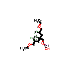 CCOCC(Br)CC(Br)(COPO)CC(Br)COCC